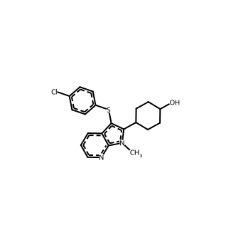 Cn1c(C2CCC(O)CC2)c(Sc2ccc(Cl)cc2)c2cccnc21